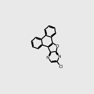 Clc1cnc2c(n1)oc1c3ccccc3c3ccccc3c21